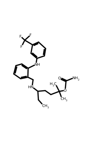 CCC(CCC(C)(C)OC(N)=O)NCc1ccccc1Nc1cccc(C(F)(F)F)c1